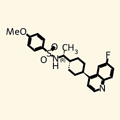 COc1ccc(S(=O)(=O)N[C@H](C)[C@H]2CC[C@H](c3ccnc4ccc(F)cc43)CC2)cc1